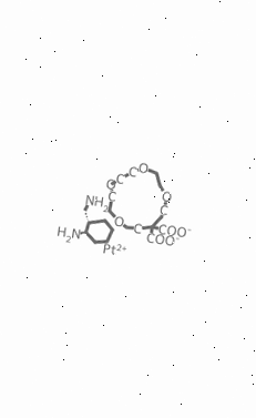 NC[C@@H]1CCCC[C@H]1N.O=C([O-])C1(C(=O)[O-])CCOCCOCCOCCOCC1.[Pt+2]